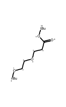 CCCCOCCOCCC(=O)OC(C)(C)C